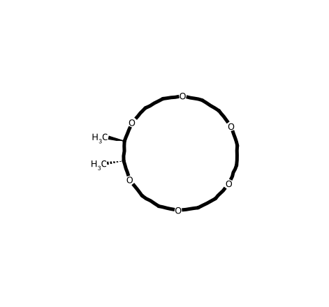 C[C@H]1OCCOCCOCCOCCOCCO[C@@H]1C